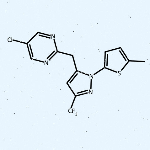 Cc1ccc(-n2nc(C(F)(F)F)cc2Cc2ncc(Cl)cn2)s1